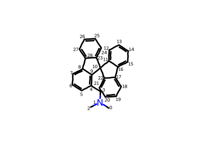 CN(C)Cc1cccc2c1C1(c3ccccc3-c3ccccc31)c1ccccc1-2